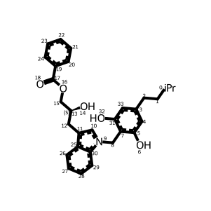 CC(C)CCc1cc(O)c(Cn2cc(C[C@H](O)COC(=O)c3ccccc3)c3ccccc32)c(O)c1